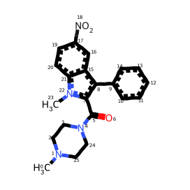 CN1CCN(C(=O)c2c(-c3ccccc3)c3cc([N+](=O)[O-])ccc3n2C)CC1